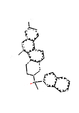 COc1ccc2c(c1)cc(OC)c1c3c(ccc12)CC(C(O)(C(=O)O)c1ccc2ccccc2c1)CC3